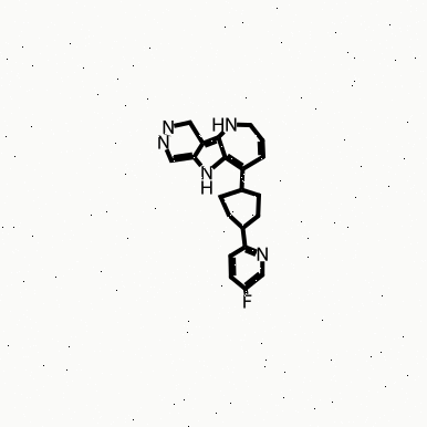 Fc1ccc(C2CCC(C3=c4[nH]c5c(c4NCC=C3)CN=NC=5)CC2)nc1